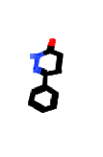 O=c1c[c]c(-c2ccccc2)n[nH]1